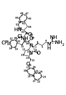 N=C(N)NCCC[C@H]1C(=O)N2C(CC[C@@H]2COc2ccc3ccccc3c2)N1C(=O)[C@@H](Cc1ccc(Cl)cc1Cl)NC(=O)[C@@H]1Cc2ccccc2CN1